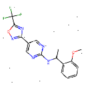 COc1ccccc1C(C)Nc1ncc(-c2noc(C(F)(F)F)n2)cn1